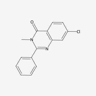 Cn1c(-c2ccccc2)nc2cc(Cl)ccc2c1=O